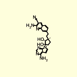 C[C@]1(CCc2ccc3cc(C#N)c(N)nc3c2)CC[C@](O)(n2ccc3c(N)ncnc32)[C@@H]1O